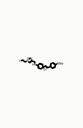 CCC1(C=Cc2ccc(NC)cc2)C=CC(NCc2cn(CCF)nn2)=CC1